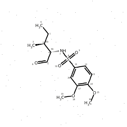 CC[C@H](C)[C@@H]([C]=O)NS(=O)(=O)c1ccc(OC)c(OC)c1